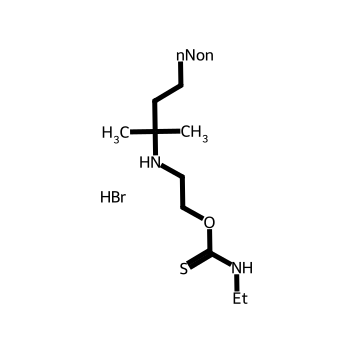 Br.CCCCCCCCCCCC(C)(C)NCCOC(=S)NCC